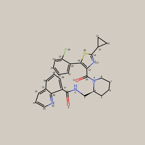 O=C(NC[C@@H]1CCCCN1C(=O)c1nc(C2CC2)sc1-c1ccccc1F)c1cccc2cccnc12